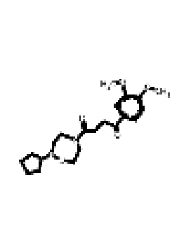 COc1ccc(C(=O)CCC(=O)N2CCCN(C3CCCC3)CC2)cc1OC